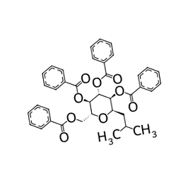 CC(C)C[C@H]1O[C@H](COC(=O)c2ccccc2)[C@@H](OC(=O)c2ccccc2)[C@H](OC(=O)c2ccccc2)[C@H]1OC(=O)c1ccccc1